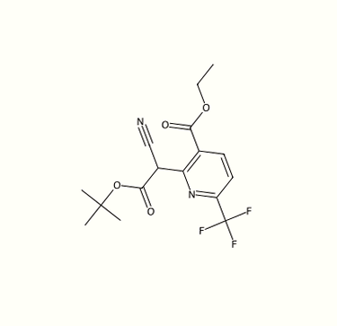 CCOC(=O)c1ccc(C(F)(F)F)nc1C(C#N)C(=O)OC(C)(C)C